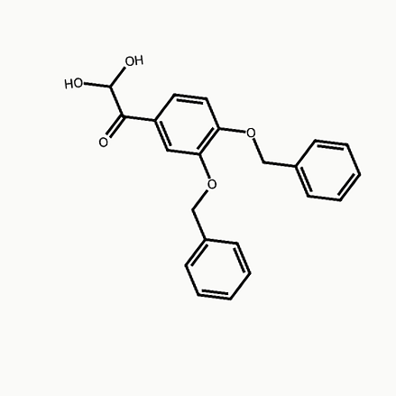 O=C(c1ccc(OCc2ccccc2)c(OCc2ccccc2)c1)C(O)O